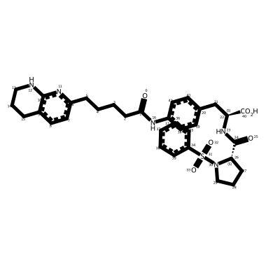 O=C(CCCCc1ccc2c(n1)NCCC2)Nc1ccc(C[C@H](NC(=O)[C@@H]2CCCN2S(=O)(=O)c2ccccc2)C(=O)O)cc1